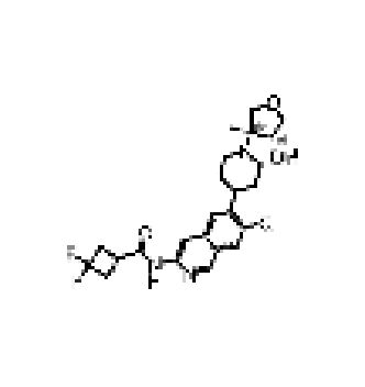 C[C@@]1(N2CCC(c3cc4cc(NC(=O)C5CC(F)(F)C5)ncc4cc3Cl)CC2)COC[C@@H]1O